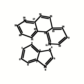 c1ccc2scnc2c1.c1cnc2c(c1)ccc1ncccc12